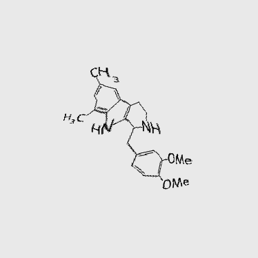 COc1ccc(CC2NCCc3c2[nH]c2c(C)cc(C)cc32)cc1OC